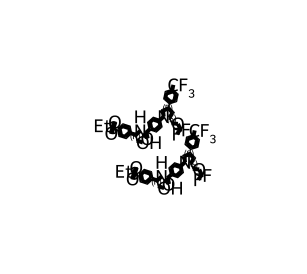 CCS(=O)(=O)c1ccc([C@H](CO)NC(=O)c2ccc(N3C[C@@H](c4ccc(C(F)(F)F)cc4)C[C@H]3COC(F)F)cc2)cc1.CCS(=O)(=O)c1ccc([C@H](CO)NC(=O)c2ccc(N3C[C@H](c4ccc(C(F)(F)F)cc4)C[C@H]3COC(F)F)cc2)cc1